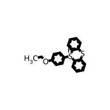 CCOc1ccc([SH]2c3ccccc3Sc3ccccc32)cc1